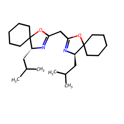 CC(C)C[C@H]1N=C(CC2=N[C@H](CC(C)C)C3(CCCCC3)O2)OC12CCCCC2